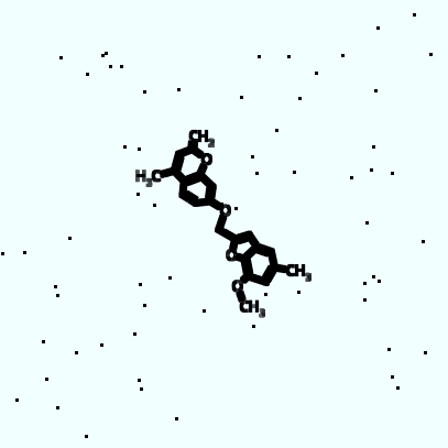 C=C1C=C(C)c2ccc(OCc3cc4cc(C)cc(OC)c4o3)cc2O1